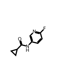 O=C(Nc1ccc(F)nc1)C1CC1